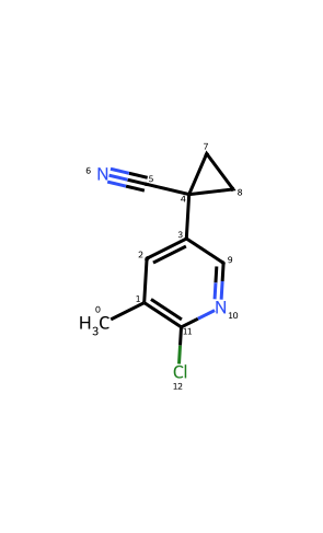 Cc1cc(C2(C#N)CC2)cnc1Cl